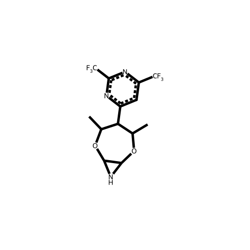 CC1OC2NC2OC(C)C1c1cc(C(F)(F)F)nc(C(F)(F)F)n1